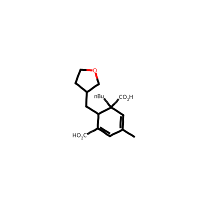 CCCCC1(C(=O)O)C=C(C)C=C(C(=O)O)C1CC1CCOC1